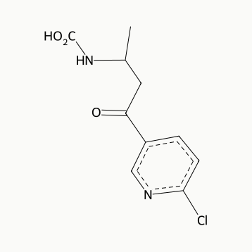 CC(CC(=O)c1ccc(Cl)nc1)NC(=O)O